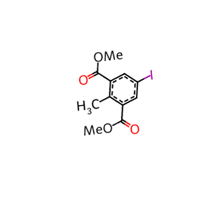 COC(=O)c1cc(I)cc(C(=O)OC)c1C